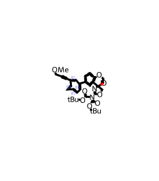 COCC#CC1=C/C(c2ccc3c(c2)C2(COC(N(C(=O)OC(C)(C)C)C(=O)OC(C)(C)C)=N2)C2(COC2)CO3)=C\C=C\C=C\1